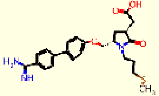 CSCCCN1C(=O)[C@H](CC(=O)O)C[C@H]1COc1ccc(-c2ccc(C(=N)N)cc2)cc1